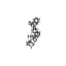 O=C(CC12CC3CC(CC(C3)C1)C2)Nc1ncnc2c1CCN(C(=O)Cc1ccccc1Br)C2